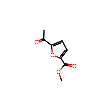 COC(=O)c1ccc(C(C)=O)o1